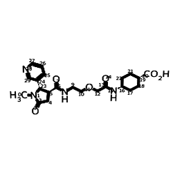 CN1C(=O)C[C@H](C(=O)NCCOCC(=O)N[C@H]2CC[C@@H](C(=O)O)CC2)[C@H]1c1cccnc1